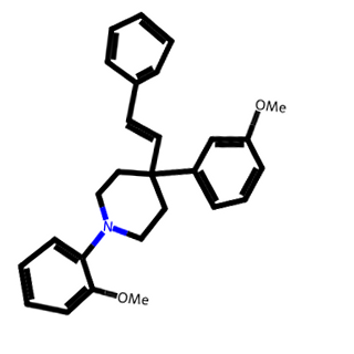 COc1cccc(C2(C=Cc3ccccc3)CCN(c3ccccc3OC)CC2)c1